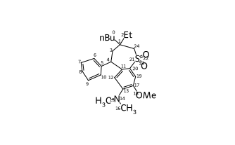 CCCCC1(CC)CC(c2ccccc2)c2cc(N(C)C)c(OC)cc2S(=O)(=O)C1